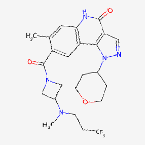 Cc1cc2[nH]c(=O)c3cnn(C4CCOCC4)c3c2cc1C(=O)N1CC(N(C)CCC(F)(F)F)C1